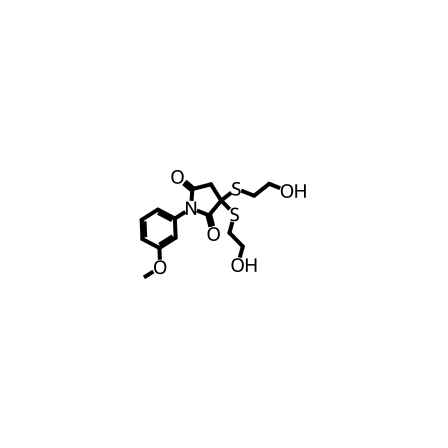 COc1cccc(N2C(=O)CC(SCCO)(SCCO)C2=O)c1